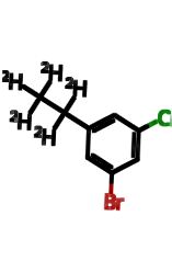 [2H]C([2H])([2H])C([2H])([2H])c1cc(Cl)cc(Br)c1